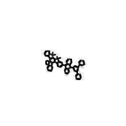 CC1(C)c2ccccc2-c2c1c1c(c3c2oc2ccccc23)-c2ccc(-c3c4ccccc4c(-c4cc(-c5ccccc5)cc(-c5ccccc5)c4)c4ccccc34)cc2C1(C)C